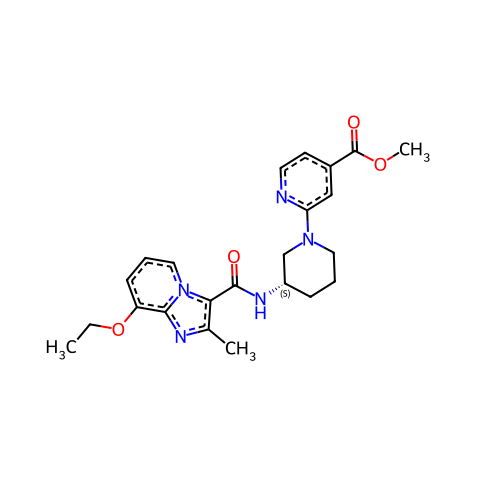 CCOc1cccn2c(C(=O)N[C@H]3CCCN(c4cc(C(=O)OC)ccn4)C3)c(C)nc12